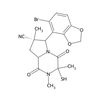 CN1C(=O)C2C[C@](C)(C#N)C(c3c(Br)ccc4c3OCO4)N2C(=O)C1(C)S